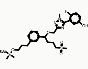 Cn1nc(COC(CCCS(C)(=O)=O)c2cccc(CCCO[Si](C)(C)C(C)(C)C)c2)nc1-c1cc(O)ccc1F